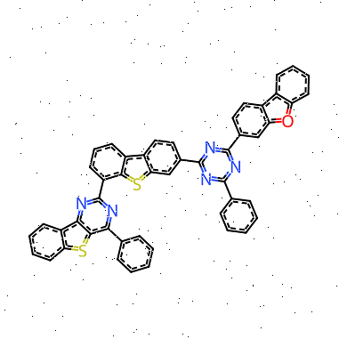 c1ccc(-c2nc(-c3ccc4c(c3)oc3ccccc34)nc(-c3ccc4c(c3)sc3c(-c5nc(-c6ccccc6)c6sc7ccccc7c6n5)cccc34)n2)cc1